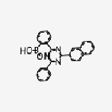 OB(O)c1ccccc1-c1nc(-c2ccccc2)nc(-c2ccc3ccccc3c2)n1